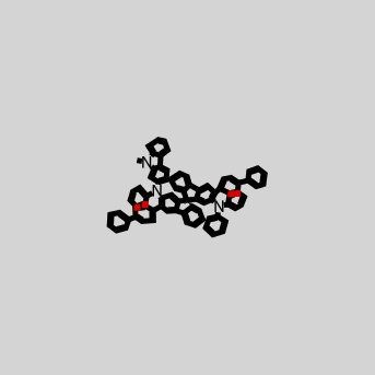 Cn1c2ccccc2c2ccc(N(c3ccccc3)c3cc4c(cc3-c3ccc(-c5ccccc5)cc3)-c3ccccc3[C@@]43c4ccccc4-c4cc(-c5ccc(-c6ccccc6)cc5)c(N(c5ccccc5)c5ccccc5)cc43)cc21